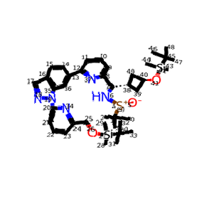 CC(C)(C)[S@@+]([O-])NC(c1cccc(-c2ccc3cnn(-c4cccc(CO[Si](C)(C)C(C)(C)C)n4)c3c2)n1)[C@H]1C[C@H](O[Si](C)(C)C(C)(C)C)C1